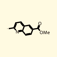 [CH2]c1ccc2cc(C(=O)OC)ccc2n1